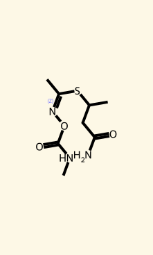 CNC(=O)O/N=C(/C)SC(C)CC(N)=O